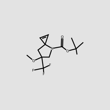 COC1(C(F)(F)F)CN(C(=O)OC(C)(C)C)C2(C=C2)C1